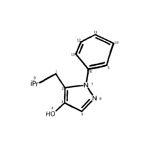 CC(C)Cc1c(O)cnn1-c1ccccc1